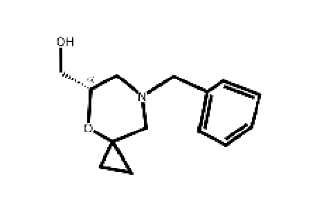 OC[C@@H]1CN(Cc2ccccc2)CC2(CC2)O1